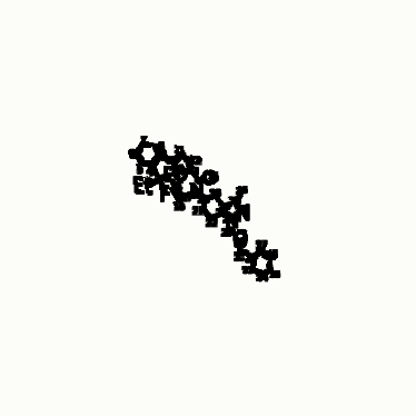 CCC(F)(CC)c1ccccc1-c1ccc(C(=O)N(C2CC2)C2CCc3c(c(C)nn3COCc3ccccc3)C2)o1